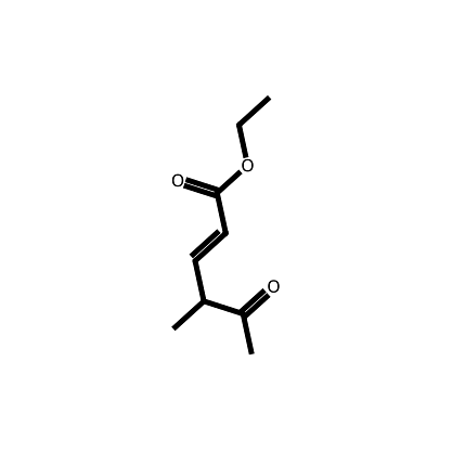 CCOC(=O)/C=C/C(C)C(C)=O